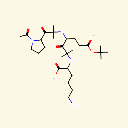 CC(=O)N1CCCC1C(=O)C(C)(C)NC(CCC(=O)OC(C)(C)C)C(=O)C(C)(C)NC(CCCCN)C(=O)O